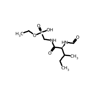 CCOP(=O)(O)CNC(=O)[C@@H](NC=O)C(C)CC